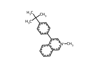 C[n+]1cc(-c2ccc(C(C)(C)C)cc2)c2ccccc2c1